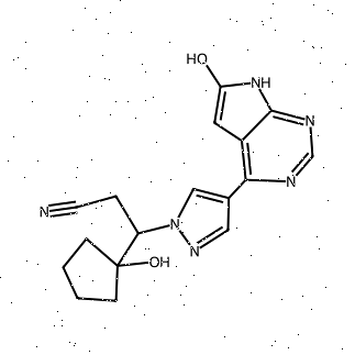 N#CCC(n1cc(-c2ncnc3[nH]c(O)cc23)cn1)C1(O)CCCC1